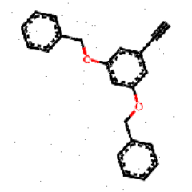 C#Cc1cc(OCc2ccccc2)cc(OCc2ccccc2)c1